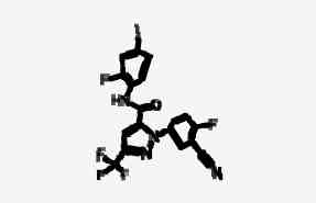 N#Cc1cc(-n2nc(C(F)(F)F)cc2C(=O)Nc2ccc(I)cc2F)ccc1F